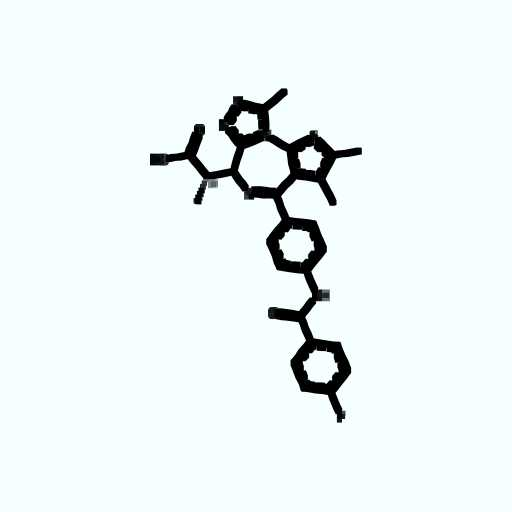 Cc1sc2c(c1C)C(c1ccc(NC(=O)c3ccc(F)cc3)cc1)=NC([C@H](C)C(=O)O)c1nnc(C)n1-2